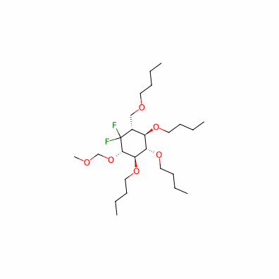 CCCCOC[C@@H]1[C@@H](OCCCC)[C@H](OCCCC)[C@@H](OCCCC)[C@H](OCOC)C1(F)F